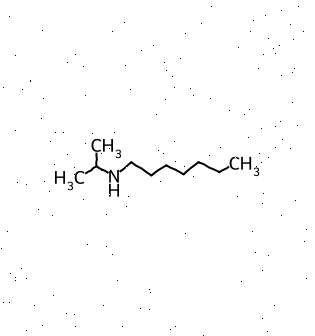 CCCCCCCNC(C)C